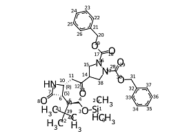 C[SiH](C)OC[C@H]([C@@H]1C(=O)N[C@@H]1CC(=O)C1CN(C(=O)OCc2ccccc2)N(C(=O)OCc2ccccc2)C1)C(C)(C)C